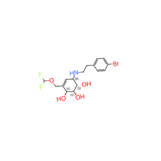 O[C@@H]1[C@@H](O)[C@@H](O)C(COC(F)F)=C[C@H]1NCCc1ccc(Br)cc1